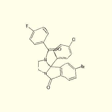 O=C(c1ccc(F)cc1)N1CCN2C(=O)c3ccc(Br)cc3C12c1ccc(Cl)cc1